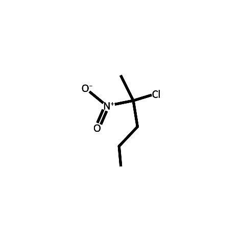 CCCC(C)(Cl)[N+](=O)[O-]